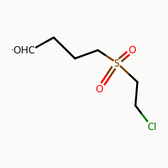 O=[C]CCCS(=O)(=O)CCCl